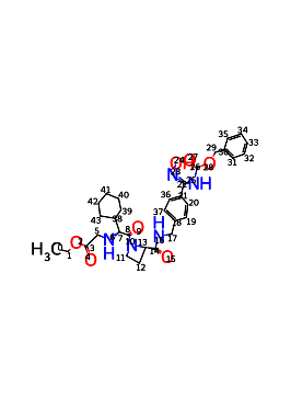 CCOC(=O)CN[C@H](C(=O)N1CC[C@@H]1C(=O)NCc1ccc(C(=NO)NC(=O)OCc2ccccc2)cc1)C1CCCCC1